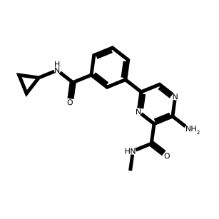 CNC(=O)c1nc(-c2cccc(C(=O)NC3CC3)c2)cnc1N